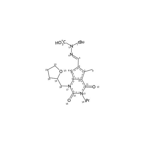 Cc1c(/C=N/N(C(=O)O)C(C)(C)C)sc2c1c(=O)n(C(C)C)c(=O)n2CC1CCCO1